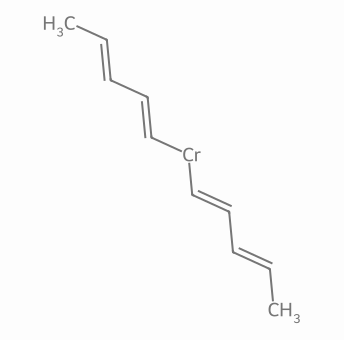 C/C=C/C=[CH]/[Cr]/[CH]=C/C=C/C